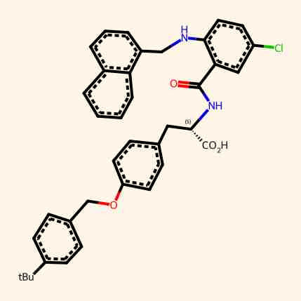 CC(C)(C)c1ccc(COc2ccc(C[C@H](NC(=O)c3cc(Cl)ccc3NCc3cccc4ccccc34)C(=O)O)cc2)cc1